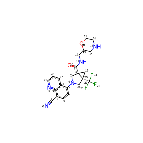 N#Cc1ccc(N2C[C@@]3(C(=O)NCC4CNCCO4)C[C@@]3(C(F)(F)F)C2)c2cccnc12